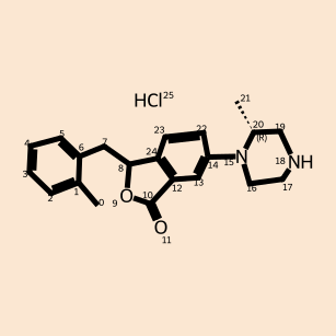 Cc1ccccc1CC1OC(=O)c2cc(N3CCNC[C@H]3C)ccc21.Cl